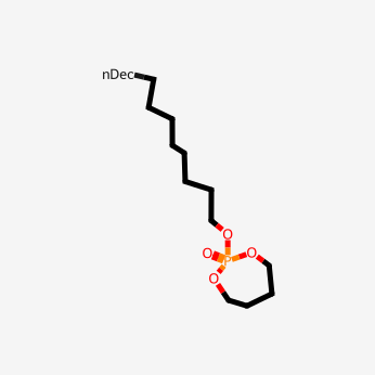 CCCCCCCCCCCCCCCCCCOP1(=O)OCCCCO1